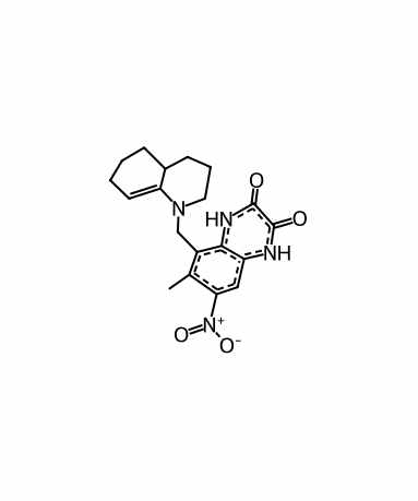 Cc1c([N+](=O)[O-])cc2[nH]c(=O)c(=O)[nH]c2c1CN1CCCC2CCCC=C21